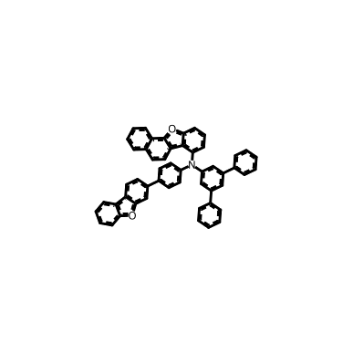 c1ccc(-c2cc(-c3ccccc3)cc(N(c3ccc(-c4ccc5c(c4)oc4ccccc45)cc3)c3cccc4oc5c6ccccc6ccc5c34)c2)cc1